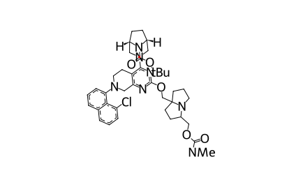 CNC(=O)OCC1CCC2(COc3nc4c(c(N5C[C@H]6CC[C@@H](C5)N6C(=O)OC(C)(C)C)n3)CCN(c3cccc5cccc(Cl)c35)C4)CCCN12